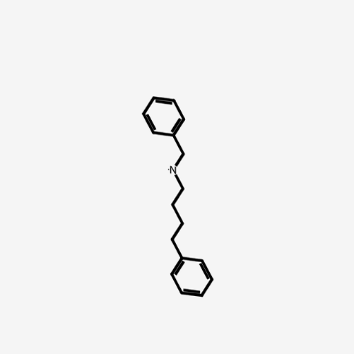 c1ccc(CCCC[N]Cc2ccccc2)cc1